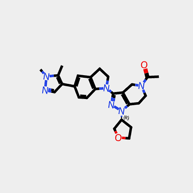 CC(=O)N1CCc2c(c(N3CCc4cc(-c5cnn(C)c5C)ccc43)nn2[C@@H]2CCOC2)C1